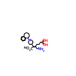 NC/C(CCCB(O)O)=C(\C(=O)O)C1CCN(C2CCCCc3ccccc32)CC1